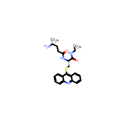 N[C@@H](CCC(=O)N[C@@H](CSc1c2ccccc2nc2ccccc12)C(=O)NCC(=O)O)C(=O)O